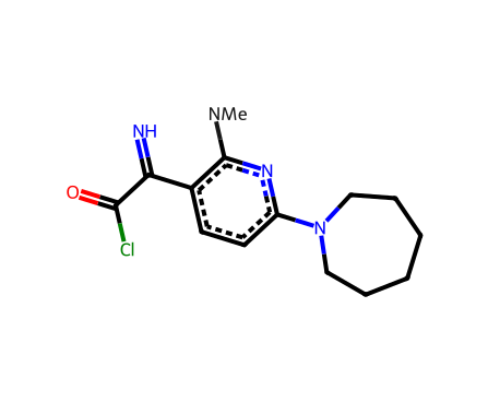 CNc1nc(N2CCCCCC2)ccc1C(=N)C(=O)Cl